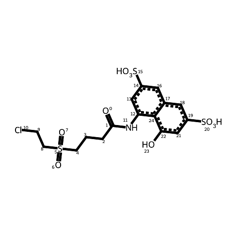 O=C(CCCS(=O)(=O)CCCl)Nc1cc(S(=O)(=O)O)cc2cc(S(=O)(=O)O)cc(O)c12